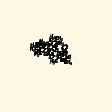 CC[C@H](C)[C@@H](C(CC(=O)N1CCC[C@H]1C(OC)[C@@H](C)C(=O)N[C@@H](Cc1ccccc1)C(=O)OC)OC)N(C)C(=O)[C@@H](NC(=O)C(C)(C)N)C(C)C